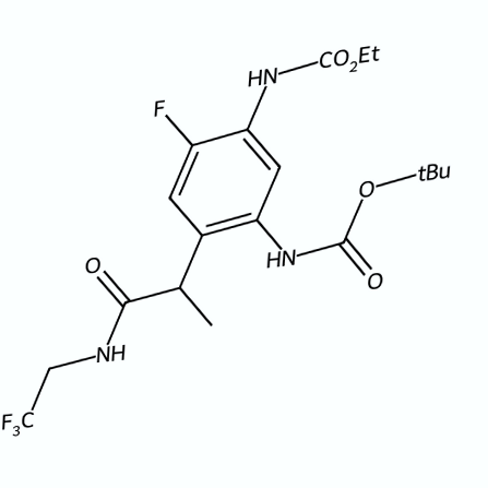 CCOC(=O)Nc1cc(NC(=O)OC(C)(C)C)c(C(C)C(=O)NCC(F)(F)F)cc1F